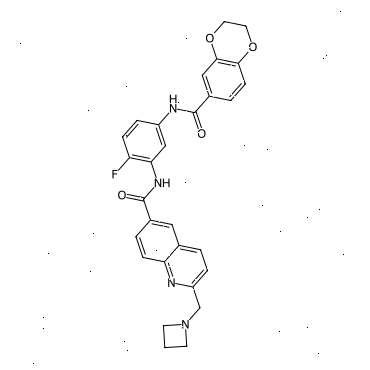 O=C(Nc1ccc(F)c(NC(=O)c2ccc3nc(CN4CCC4)ccc3c2)c1)c1ccc2c(c1)OCCO2